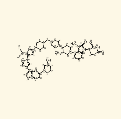 C[C@@H]1CN(CC2CCC(n3cc(-n4cc(-c5cnn6ccc(N7CCC[C@H](O)C7)nc56)nn4)c(C(F)F)n3)CC2)CCN1C1CCN(c2cccc3c2n(C)c(=O)n3C2CCC(=O)NC2=O)CC1